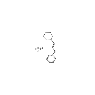 O.O.[B](C=CC1CCCCC1)c1ccccc1